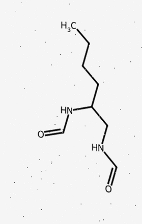 CCCCC(CNC=O)NC=O